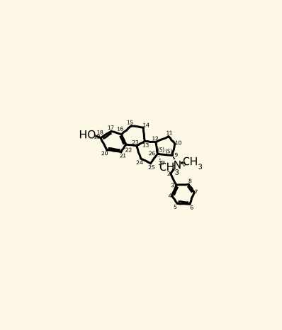 CN(Cc1ccccc1)[C@H]1CCC2C3CCc4cc(O)ccc4C3CC[C@@]21C